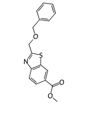 COC(=O)c1ccc2nc(COCc3ccccc3)sc2c1